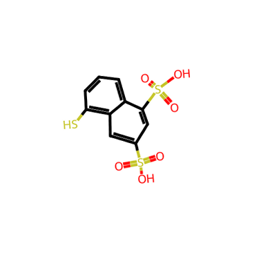 O=S(=O)(O)c1cc(S(=O)(=O)O)c2cccc(S)c2c1